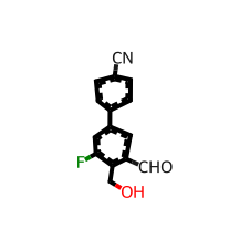 N#Cc1ccc(-c2cc(F)c(CO)c(C=O)c2)cc1